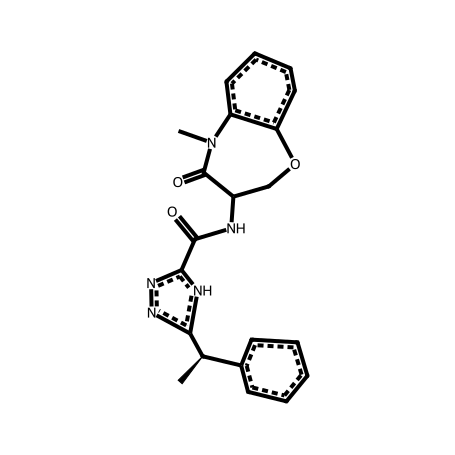 C[C@H](c1ccccc1)c1nnc(C(=O)NC2COc3ccccc3N(C)C2=O)[nH]1